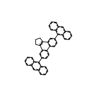 c1ccc2c(-c3ccc4c(c3)C35CCCC3(CCC5)c3cc(-c5c6ccccc6cc6ccccc56)ccc3-4)c3ccccc3cc2c1